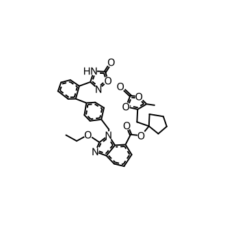 CCOc1nc2cccc(C(=O)OC3(Cc4oc(=O)oc4C)CCCC3)c2n1Cc1ccc(-c2ccccc2-c2noc(=O)[nH]2)cc1